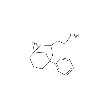 CC12CCCC(c3ccccc3)(CC(CCC(=O)O)C1)C2